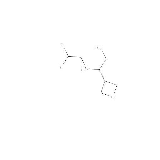 OCC(NCC(F)F)C1COC1